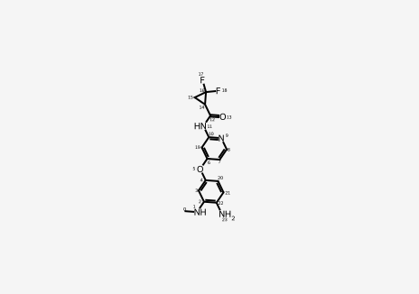 CNc1cc(Oc2ccnc(NC(=O)C3CC3(F)F)c2)ccc1N